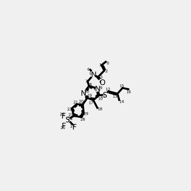 C/C=C/C(=O)N(C)Cc1nc(S/C=C(\C)CC)c(C)c(-c2ccc(S(F)(F)F)cc2)n1